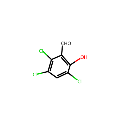 O=Cc1c(O)c(Cl)cc(Cl)c1Cl